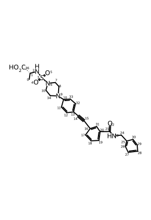 C[C@@H](NS(=O)(=O)N1CCN(c2ccc(C#Cc3cccc(C(=O)NCc4ccccc4)c3)cc2)CC1)C(=O)O